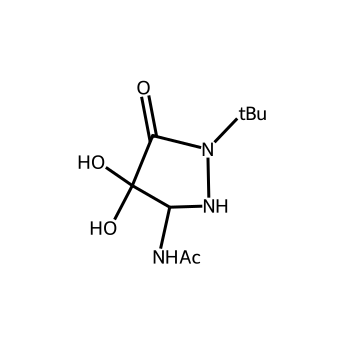 CC(=O)NC1NN(C(C)(C)C)C(=O)C1(O)O